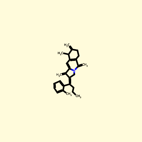 C=C1C2=CC3=C(CCC(=C)C3C)C(=C)N2C/C1=C(\CCC)c1ccccc1C